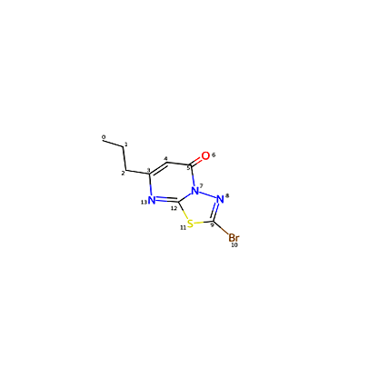 CCCc1cc(=O)n2nc(Br)sc2n1